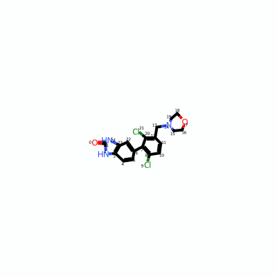 O=c1[nH]c2ccc(-c3c(Cl)ccc(CN4CCOCC4)c3Cl)cc2[nH]1